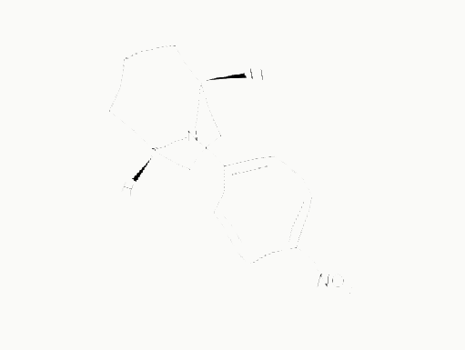 O=[N+]([O-])c1ccc(N2[C@@H]3CCC[C@H]2CC3)cc1